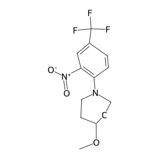 COC1CCN(c2ccc(C(F)(F)F)cc2[N+](=O)[O-])CC1